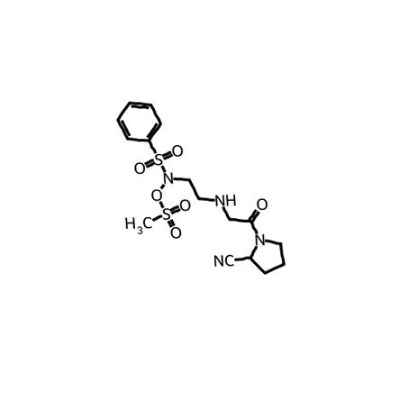 CS(=O)(=O)ON(CCNCC(=O)N1CCCC1C#N)S(=O)(=O)c1ccccc1